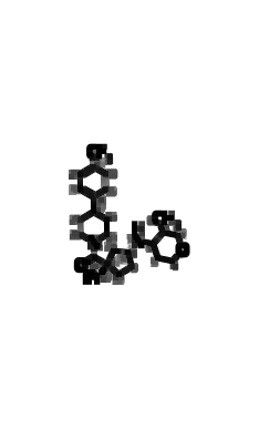 CC1COCCC1N[C@@H]1CC[C@@](C(=O)N2CCC(c3ccc(C(F)(F)F)cc3)CC2)(C(C)C)C1